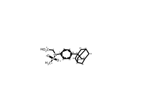 CS(=O)(=O)N(CC(=O)O)c1ccc(C23CC4CC(CC(C4)C2)C3)cc1